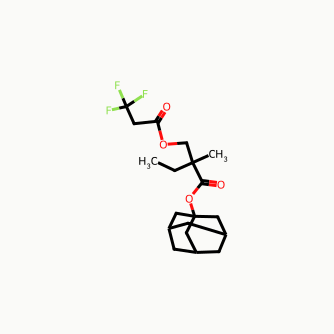 CCC(C)(COC(=O)CC(F)(F)F)C(=O)OC12CC3CC(CC(C3)C1)C2